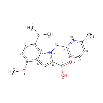 COc1ccc(C(C)C)c2c1cc(C(=O)O)n2Cc1cccc(C)n1